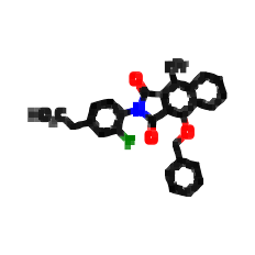 CCCc1c2c(c(OCc3ccccc3)c3ccccc13)C(=O)N(c1ccc(CC(=O)O)cc1F)C2=O